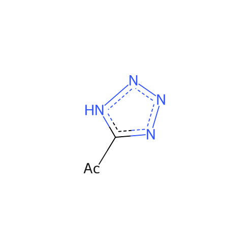 CC(=O)c1nnn[nH]1